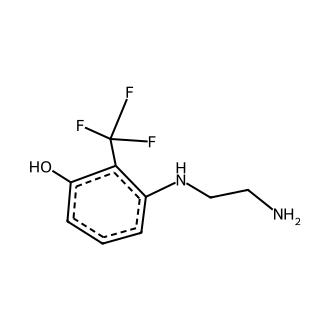 NCCNc1cccc(O)c1C(F)(F)F